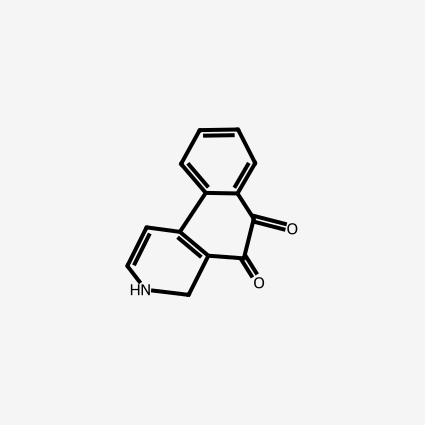 O=C1C(=O)c2ccccc2C2=C1CNC=C2